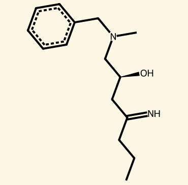 CCCC(=N)C[C@H](O)CN(C)Cc1ccccc1